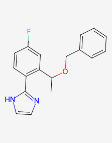 CC(OCc1ccccc1)c1cc(F)ccc1-c1ncc[nH]1